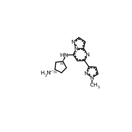 Cn1ccc(-c2cc(N[C@H]3CC[C@H](N)C3)n3nccc3n2)n1